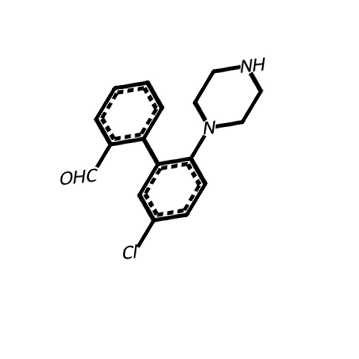 O=Cc1ccccc1-c1cc(Cl)ccc1N1CCNCC1